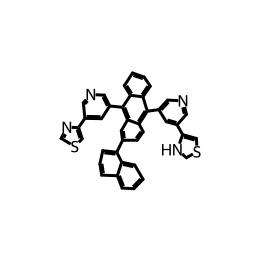 C1=C(c2cncc(-c3c4ccccc4c(-c4cncc(-c5cscn5)c4)c4cc(-c5cccc6ccccc56)ccc34)c2)NCS1